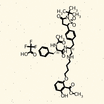 COC(=O)c1c(O)cccc1OCCCCNC[C@H](Cc1ccc(C2CC(=O)N(C(C)(C)C)S2(=O)=O)cc1)NC(=O)[C@H](Cc1ccccc1)NC(C)=O.O=C(O)C(F)(F)F